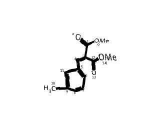 COC(=O)C(=Cc1cccc(C)c1)C(=O)OC